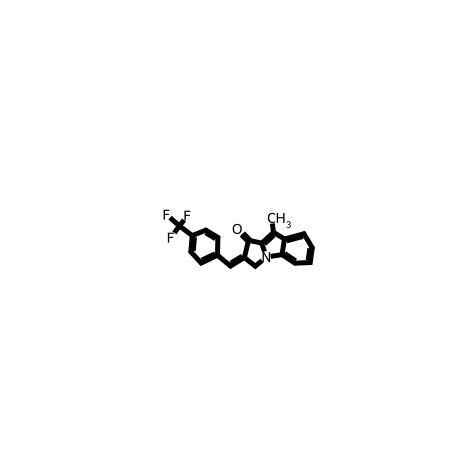 Cc1c2n(c3ccccc13)CC(=Cc1ccc(C(F)(F)F)cc1)C2=O